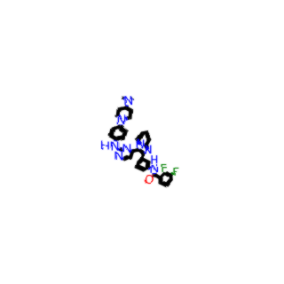 CN(C)C1CCN(c2ccc(Nc3nccc(-c4c(-c5cccc(NC(=O)c6cccc(F)c6F)c5)nc5ccccn45)n3)cc2)CC1